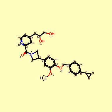 COc1cc(C2CN(C(=O)c3cc(CC(O)CO)ccn3)C2)ccc1OCc1ccc(C2CC2)cc1